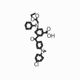 CN(c1ccc(Cl)cc1)c1ccc(C(=O)c2cc(C(=O)O)cc(N(CC3OCCO3)c3ccccc3)c2)cc1